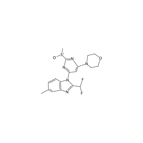 Cc1ccc2c(c1)nc(C(F)F)n2-c1cc(N2CCOCC2)nc([S+](C)[O-])n1